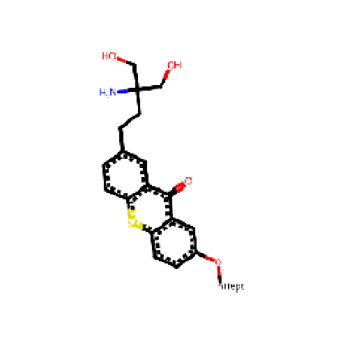 CCCCCCCOc1ccc2sc3ccc(CCC(N)(CO)CO)cc3c(=O)c2c1